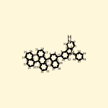 C1=Cc2c(c3cc(-c4ccc(-c5c6ccccc6c(-c6cccc7ccccc67)c6ccccc56)c5ccccc45)ccc3n2-c2ccccc2)CN1